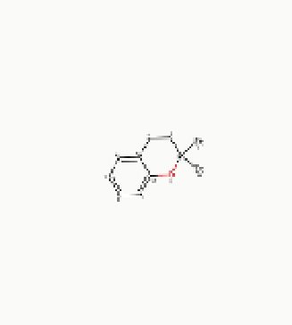 CCC1(CC)C[CH]c2ccccc2O1